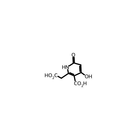 O=C(O)Cc1[nH]c(=O)cc(O)c1C(=O)O